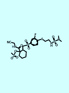 CN(C)S(=O)(=O)NCCSc1ccc(S(=O)(=O)CC2CCCCC2(OS(C)(=O)=O)C(=O)NCC#N)cc1F